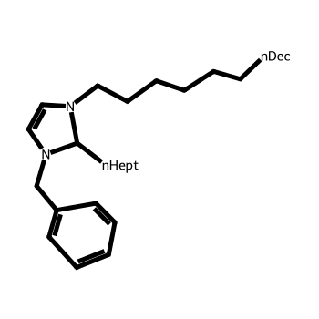 CCCCCCCCCCCCCCCCN1C=CN(Cc2ccccc2)C1CCCCCCC